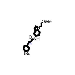 COCCn1ccc2cc(NC(=O)/C=C/c3ccc(C(C)(C)C)cc3)ccc21